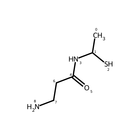 CC(S)NC(=O)CCN